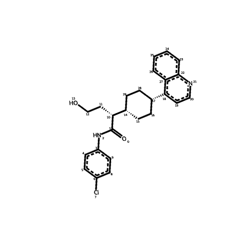 O=C(Nc1ccc(Cl)cc1)[C@H](CCO)[C@H]1CC[C@@H](c2ccnc3ccccc32)CC1